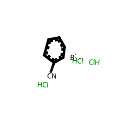 Cl.Cl.Cl.N#Cc1ccccc1.[B]